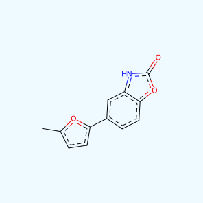 Cc1ccc(-c2ccc3oc(=O)[nH]c3c2)o1